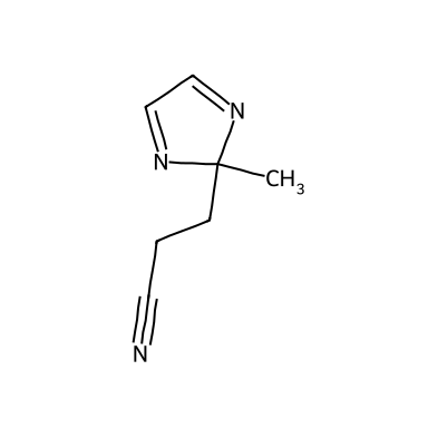 CC1(CCC#N)N=CC=N1